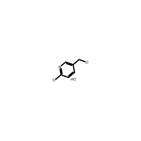 Cl.ClCc1ccc(Cl)nc1